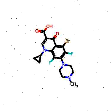 CN1CCN(c2c(F)c(Br)c3c(=O)c(C(=O)O)cn(C4CC4)c3c2F)CC1